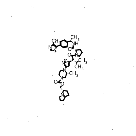 Cc1ncsc1-c1ccc([C@H](C)NC(=O)[C@@H]2CCCN2C(=O)[C@@H](c2cc(N3CCN(C(=O)OC[C@@H]4CCC5CCCN54)C[C@H]3C)no2)C(C)C)cc1